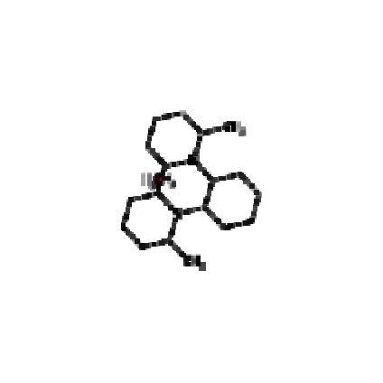 CC1CCCC(C)N1C1CCCCC1N1C(C)CCCC1C